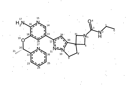 CCNC(=O)N1CC2(CCn3nc(-c4cnc(N)c(O[C@@H](C)c5ccccn5)c4)cc32)C1